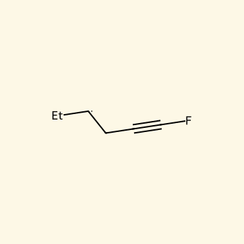 CC[CH]CC#CF